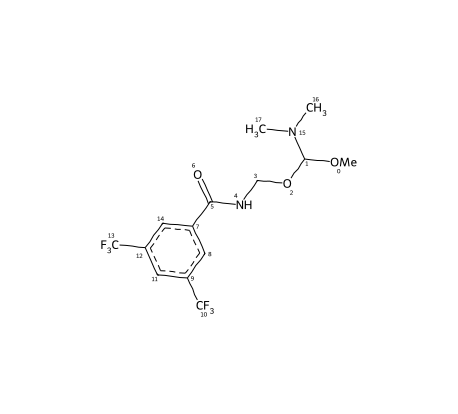 COC(OCNC(=O)c1cc(C(F)(F)F)cc(C(F)(F)F)c1)N(C)C